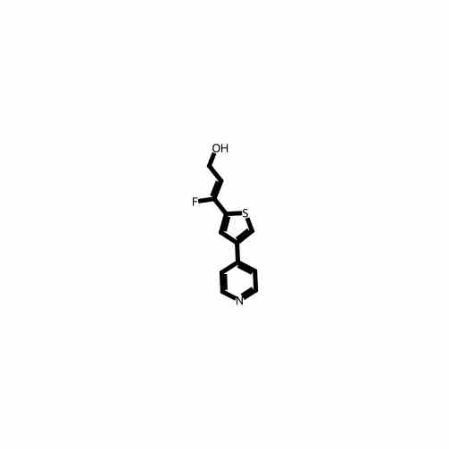 OCC=C(F)c1cc(-c2ccncc2)cs1